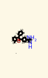 [C]c1cccc2c(-c3ccccc3)c(-c3ccc(C4(N)CNC4)cc3)oc12